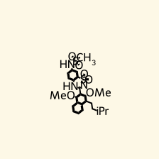 COc1c(C2=NS(=O)(=O)c3cc(NS(C)(=O)=O)ccc3N2)c(OC)c2ccccc2c1CCC(C)C